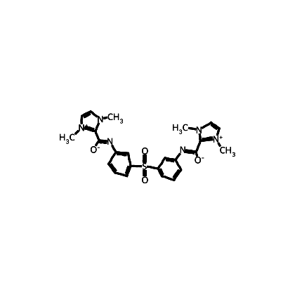 Cn1cc[n+](C)c1/C([O-])=N/c1cccc(S(=O)(=O)c2cccc(/N=C(\[O-])c3n(C)cc[n+]3C)c2)c1